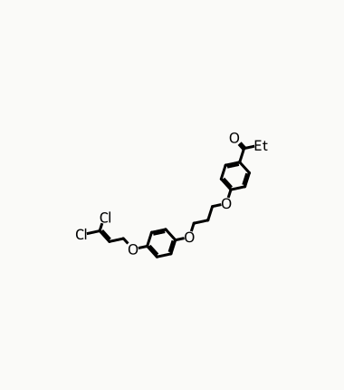 CCC(=O)c1ccc(OCCCOc2ccc(OCC=C(Cl)Cl)cc2)cc1